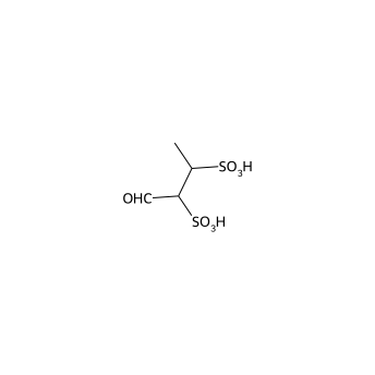 CC(C(C=O)S(=O)(=O)O)S(=O)(=O)O